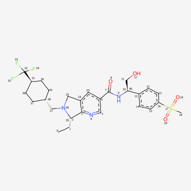 CC[C@H]1c2ncc(C(=O)N[C@@H](CO)c3ccc(S(C)(=O)=O)cc3)cc2CN1C[C@H]1CC[C@H](C(F)(F)F)CC1